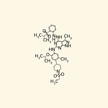 CCS(=O)(=O)N1CCC(c2cc(OC(C)C)c(Nc3nc(NNc4ccccc4S(=O)(=O)C(C)C)c4c(C)n[nH]c4n3)cc2C)CC1